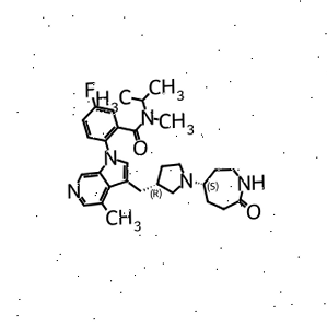 Cc1cncc2c1c(C[C@@H]1CCN([C@@H]3CCNC(=O)CC3)C1)cn2-c1ccc(F)cc1C(=O)N(C)C(C)C